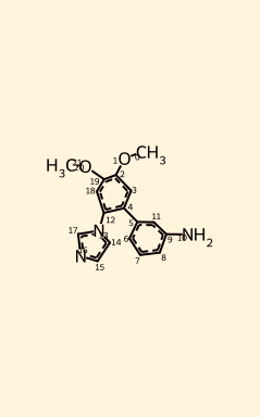 COc1cc(-c2cccc(N)c2)c(-n2ccnc2)cc1OC